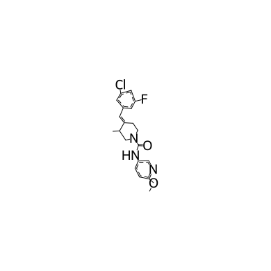 COc1ccc(NC(=O)N2CC/C(=C\c3cc(F)cc(Cl)c3)C(C)C2)cn1